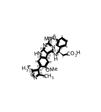 COc1cccc([C@@H](CC(=O)O)Nc2nc(C)nc3[nH]c4cc(-c5c(C)noc5C)c(OC)cc4c23)c1